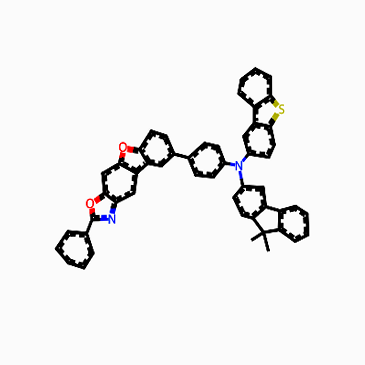 CC1(C)c2ccccc2-c2cc(N(c3ccc(-c4ccc5oc6cc7oc(-c8ccccc8)nc7cc6c5c4)cc3)c3ccc4sc5ccccc5c4c3)ccc21